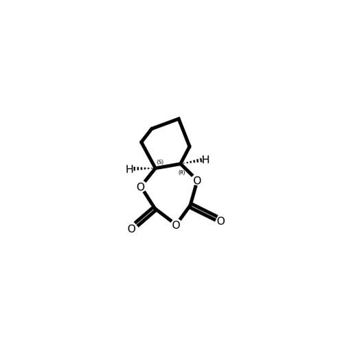 O=C1OC(=O)O[C@@H]2CCCC[C@@H]2O1